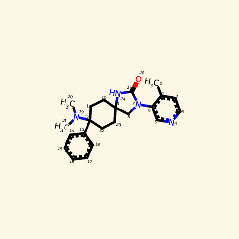 Cc1ccncc1N1CC2(CCC(c3ccccc3)(N(C)C)CC2)NC1=O